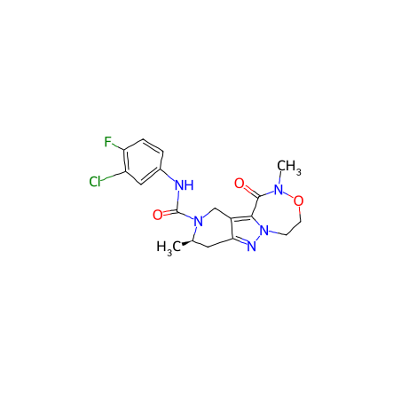 C[C@@H]1Cc2nn3c(c2CN1C(=O)Nc1ccc(F)c(Cl)c1)C(=O)N(C)OCC3